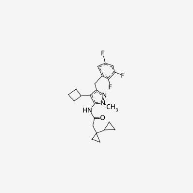 Cn1nc(Cc2cc(F)cc(F)c2F)c(C2CCC2)c1NC(=O)CC1(C2CC2)CC1